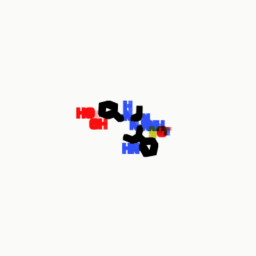 Cc1nnc(-c2c(C)[nH]c3cccc([S+](N)[O-])c23)nc1NCc1cccc(B(O)O)c1